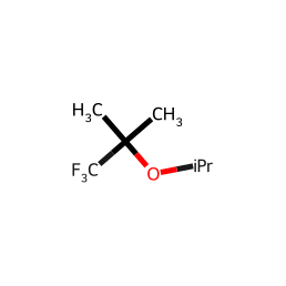 CC(C)OC(C)(C)C(F)(F)F